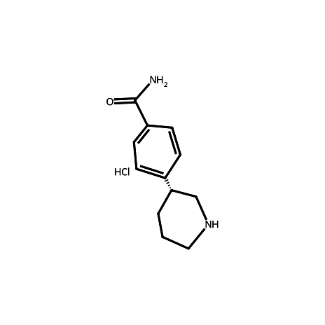 Cl.NC(=O)c1ccc([C@H]2CCCNC2)cc1